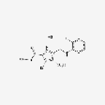 CCOC(=O)c1c(CNc2ccccc2F)[nH]c(C(=O)OC(C)(C)C)c1CC.Cl